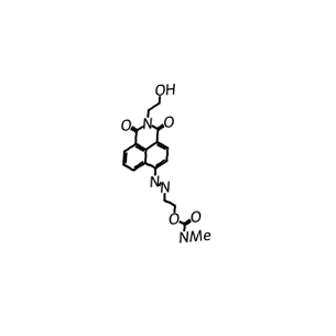 CNC(=O)OCCN=Nc1ccc2c3c(cccc13)C(=O)N(CCO)C2=O